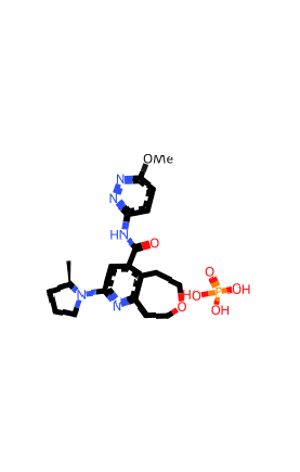 COc1ccc(NC(=O)c2cc(N3CCC[C@H]3C)nc3c2CCOCC3)nn1.O=P(O)(O)O